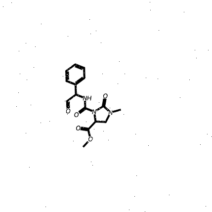 COC(=O)C1CN(C)C(=O)N1C(=O)NC([C]=O)c1ccccc1